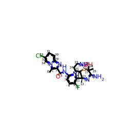 Cc1c(C(=O)Nc2ccc(F)c([C@@]3(C)N=C(N)C(C)(C)S4(O)NCCC[C@@H]34)n2)nc2ccc(Cl)cn12